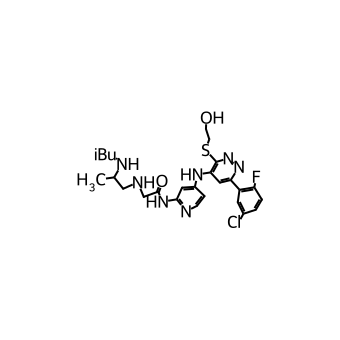 CCC(C)NC(C)CNCC(=O)Nc1cc(Nc2cc(-c3cc(Cl)ccc3F)nnc2SCCO)ccn1